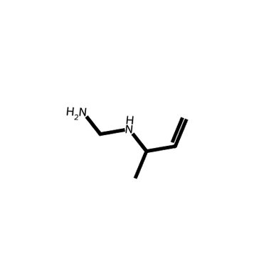 C=CC(C)NCN